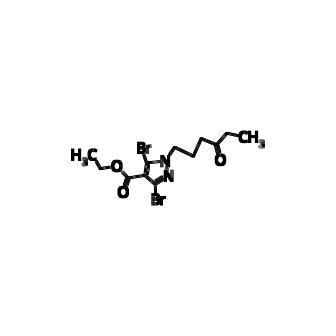 CCOC(=O)c1c(Br)nn(CCCC(=O)CC)c1Br